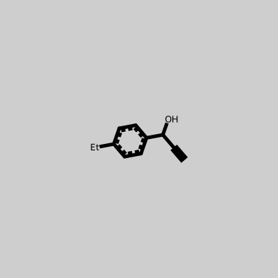 C#CC(O)c1ccc(CC)cc1